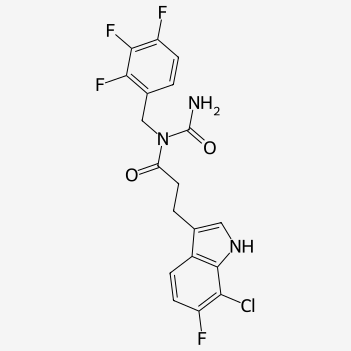 NC(=O)N(Cc1ccc(F)c(F)c1F)C(=O)CCc1c[nH]c2c(Cl)c(F)ccc12